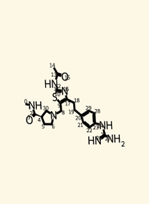 CNC(=O)[C@@H]1CCN(Cc2sc(NC(C)=O)nc2CCc2ccc(NC(=N)N)cc2)C1